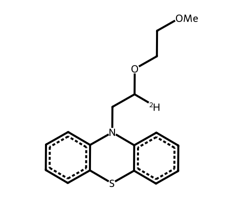 [2H]C(CN1c2ccccc2Sc2ccccc21)OCCOC